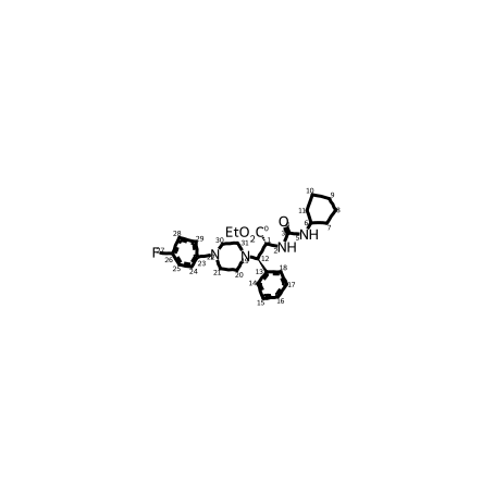 CCOC(=O)[C@H](NC(=O)NC1CCCCC1)[C@@H](c1ccccc1)N1CCN(c2ccc(F)cc2)CC1